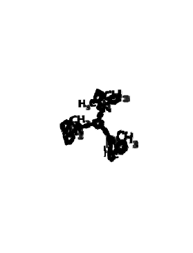 Cc1cccc(C)c1-n1cc(C#Cc2cc(C#Cc3cn(-c4c(C)cccc4C)c(-c4ccccc4)n3)cc(C#Cc3cn(-c4c(C)cccc4C)c(-c4ccccc4)n3)c2)nc1-c1ccccc1